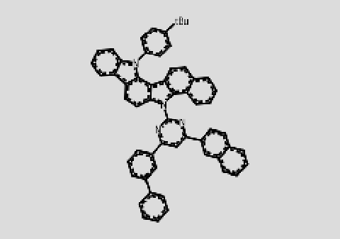 CC(C)(C)c1ccc(-n2c3ccccc3c3ccc4c(c5ccc6ccccc6c5n4-c4nc(-c5cccc(-c6ccccc6)c5)cc(-c5ccc6ccccc6c5)n4)c32)cc1